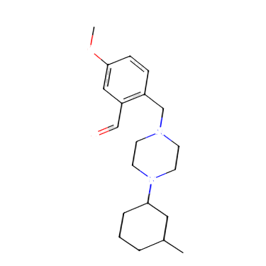 COc1ccc(CN2CCN(C3CCCC(C)C3)CC2)c(C=O)c1